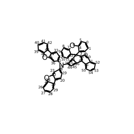 c1ccc2c(c1)Oc1ccccc1C21c2cc(N(c3ccc4c(c3)oc3ccccc34)c3ccc4c(c3)oc3ccccc34)ccc2-c2c1ccc1ccccc21